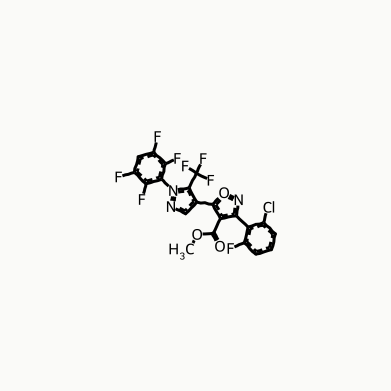 COC(=O)c1c(-c2c(F)cccc2Cl)noc1-c1cnn(-c2c(F)c(F)cc(F)c2F)c1C(F)(F)F